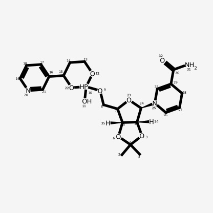 CC1(C)O[C@@H]2[C@H](O1)C(CO[PH]1(O)OCCC(c3cccnc3)O1)O[C@H]2N1C=CCC(C(N)=O)=C1